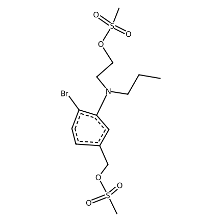 CCCN(CCOS(C)(=O)=O)c1cc(COS(C)(=O)=O)ccc1Br